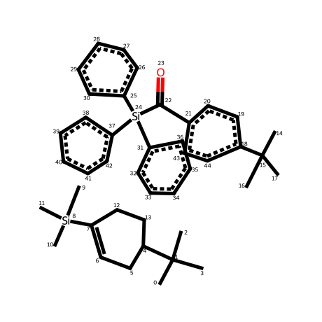 CC(C)(C)C1CC=C([Si](C)(C)C)CC1.CC(C)(C)c1ccc(C(=O)[Si](c2ccccc2)(c2ccccc2)c2ccccc2)cc1